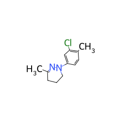 CC1=NN(c2ccc(C)c(Cl)c2)CCC1